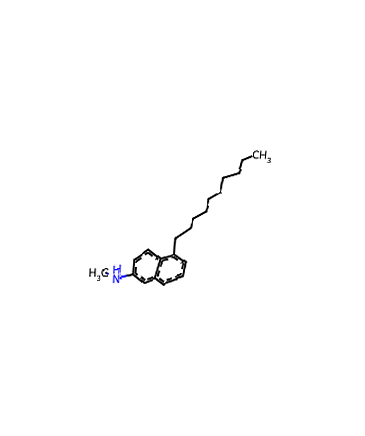 CCCCCCCCCCc1cccc2cc(NC)ccc12